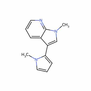 Cn1cccc1-c1cn(C)c2ncccc12